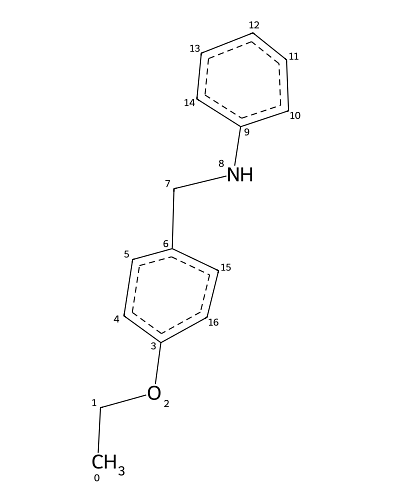 CCOc1ccc(CNc2ccccc2)cc1